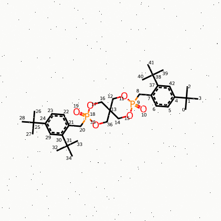 CC(C)(C)c1ccc(CP2(=O)OCC3(CO2)COP(=O)(Cc2ccc(C(C)(C)C)cc2C(C)(C)C)OC3)c(C(C)(C)C)c1